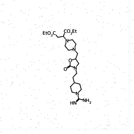 CCOC(=O)CC(C(=O)OCC)N1CCN(CC2CN(CCC3CCN(C(=N)N)CC3)C(=O)O2)CC1